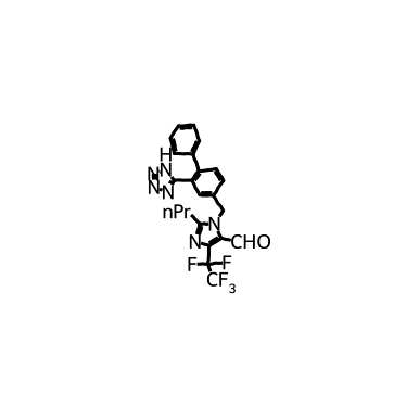 CCCc1nc(C(F)(F)C(F)(F)F)c(C=O)n1Cc1ccc(-c2ccccc2)c(-c2nnn[nH]2)c1